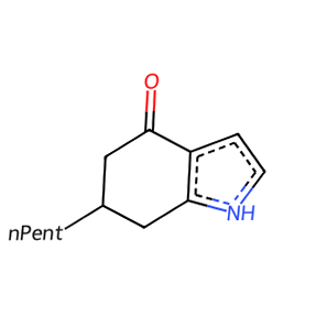 CCCCCC1CC(=O)c2cc[nH]c2C1